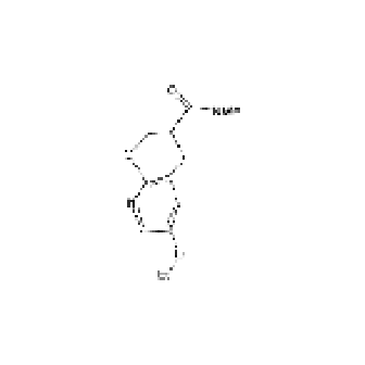 CCOc1cnc2c(c1)CC(C(=O)NC)CO2